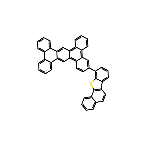 c1ccc2c(c1)ccc1c3cccc(-c4ccc5c(c4)c4ccccc4c4cc6c7ccccc7c7ccccc7c6cc54)c3sc21